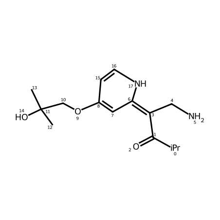 CC(C)C(=O)/C(CN)=C1\C=C(OCC(C)(C)O)C=CN1